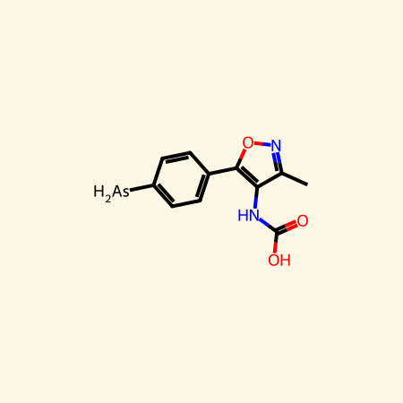 Cc1noc(-c2ccc([AsH2])cc2)c1NC(=O)O